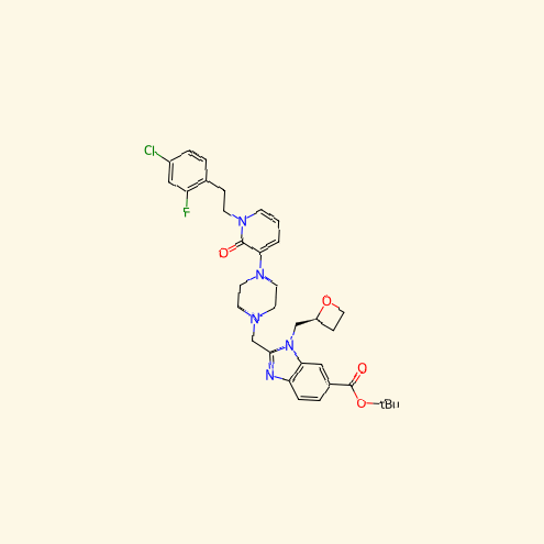 CC(C)(C)OC(=O)c1ccc2nc(CN3CCN(c4cccn(CCc5ccc(Cl)cc5F)c4=O)CC3)n(C[C@@H]3CCO3)c2c1